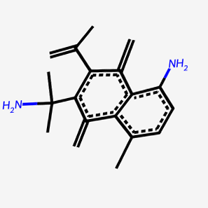 C=C(C)c1c(C(C)(C)N)c(=C)c2c(C)ccc(N)c2c1=C